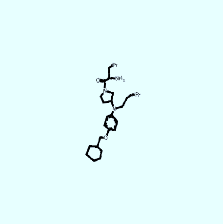 CC(C)CCN(c1ccc(OCC2CCCCC2)cc1)C1CCN(C(=O)C(N)CC(C)C)C1